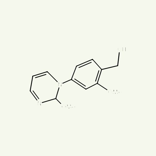 COc1cc(N2C=CC=NC2OC)ccc1CO